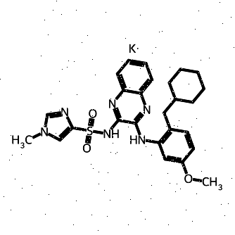 COc1ccc(CC2CCCCC2)c(Nc2nc3ccccc3nc2NS(=O)(=O)c2cn(C)cn2)c1.[K]